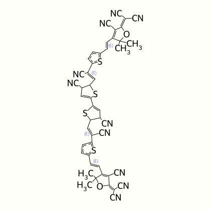 CC1(C)OC(=C(C#N)C#N)C(C#N)=C1/C=C/c1ccc(/C(C#N)=C/C2SC(C3=CC(C#N)C(/C=C(\C#N)c4ccc(/C=C/C5=C(C#N)C(=C(C#N)C#N)OC5(C)C)s4)S3)=CC2C#N)s1